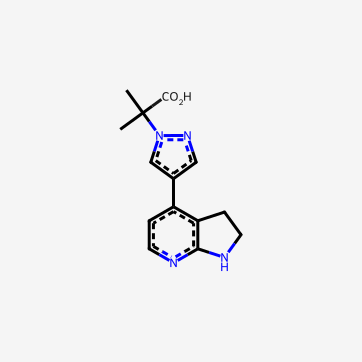 CC(C)(C(=O)O)n1cc(-c2ccnc3c2CCN3)cn1